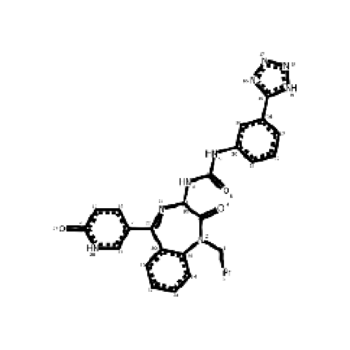 CC(C)CN1C(=O)[C@H](NC(=O)Nc2cccc(-c3nnn[nH]3)c2)N=C(c2ccc(=O)[nH]c2)c2ccccc21